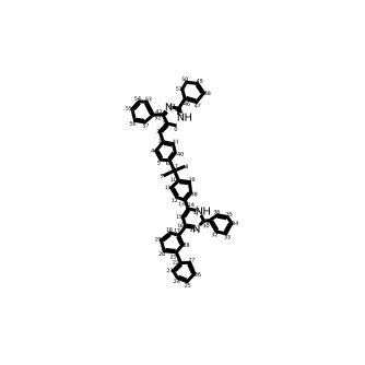 CC(=C\c1ccc(C(C)(C)c2ccc(C3=CC(c4cccc(-c5ccccc5)c4)=NC(c4ccccc4)N3)cc2)cc1)/C(=N\C(=N)C1=CC=CCC1)c1ccccc1